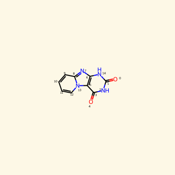 O=c1[nH]c(=O)c2c(nc3ccccn32)[nH]1